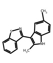 Cc1ccc2[nH]c(C)c(-c3nsc4ccccc34)c2c1